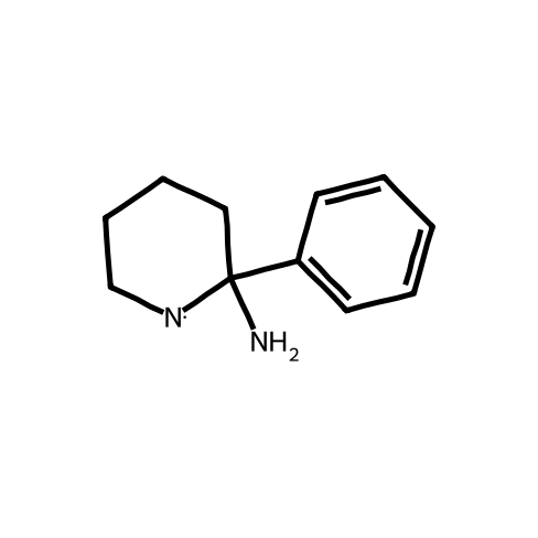 NC1(c2ccccc2)CCCC[N]1